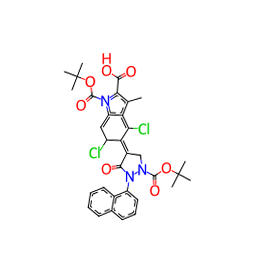 Cc1c(C(=O)O)n(C(=O)OC(C)(C)C)c2c1=C(Cl)C(=C1CN(C(=O)OC(C)(C)C)N(c3cccc4ccccc34)C1=O)C(Cl)C=2